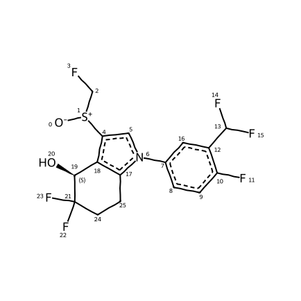 [O-][S+](CF)c1cn(-c2ccc(F)c(C(F)F)c2)c2c1[C@H](O)C(F)(F)CC2